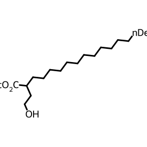 CCCCCCCCCCCCCCCCCCCCCCC(CCO)C(=O)OCC